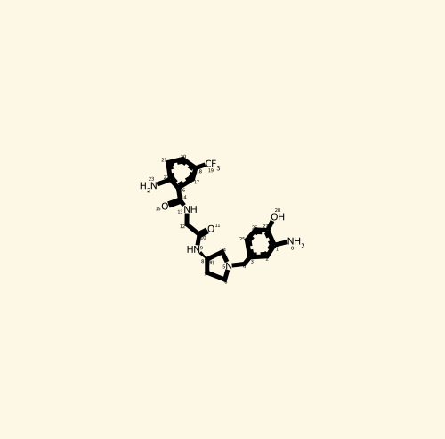 Nc1cc(CN2CC[C@@H](NC(=O)CNC(=O)c3cc(C(F)(F)F)ccc3N)C2)ccc1O